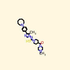 Cc1c(-c2ccc(N3CCCCCCC3)cc2)ncn1/N=C(\S)N1CCC(C(=O)N2CCN(C)CC2)CC1